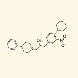 O=[N+]([O-])c1cc(CC(O)CN2CCC(c3ccccc3)CC2)ccc1C1CCCCC1